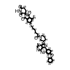 Nc1ncnc2c1c(-c1ccc(Oc3ccccc3)cc1)nn2C1CCCN(C(=O)CCCCCSc2cc(F)c3c(c2)C(=O)N(C2CCC(=O)NC2=O)C3=O)C1